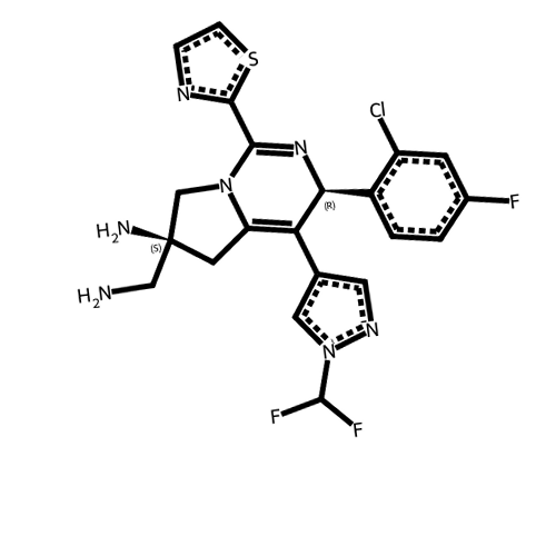 NC[C@@]1(N)CC2=C(c3cnn(C(F)F)c3)[C@H](c3ccc(F)cc3Cl)N=C(c3nccs3)N2C1